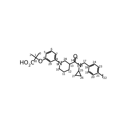 CC(C)(Oc1cccc(N2CCCC(C(=O)N(Cc3ccc(I)cc3)C3CC3)C2)c1)C(=O)O